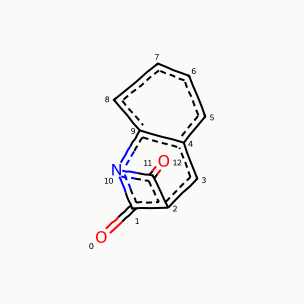 O=c1c2cc3ccccc3n1c2=O